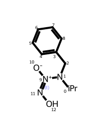 CC(C)N(Cc1ccccc1)/[N+]([O-])=N\O